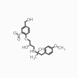 COc1ccc(CC(C)(C)NC[C@@H](O)COc2ccc(CO)cc2[N+](=O)[O-])cc1